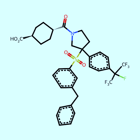 O=C(O)[C@H]1CC[C@H](C(=O)N2CCC(c3ccc(C(F)(C(F)(F)F)C(F)(F)F)cc3)(S(=O)(=O)c3cccc(Cc4ccccc4)c3)C2)CC1